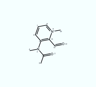 CC(=O)N(C)c1ccc[n+](C)c1C=O